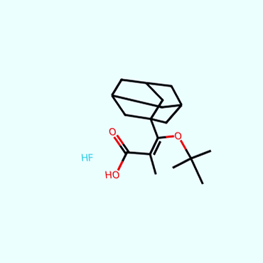 CC(C(=O)O)=C(OC(C)(C)C)C12CC3CC(CC(C3)C1)C2.F